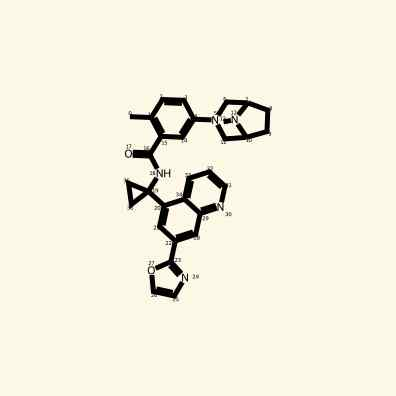 Cc1ccc(N2CC3CCC(C2)N3C)cc1C(=O)NC1(c2cc(-c3ncco3)cc3ncccc23)CC1